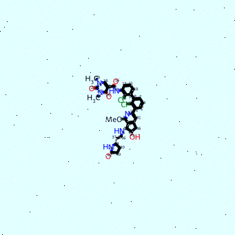 COc1nc(-c2cccc(-c3cccc(NC(=O)c4cn(C)c(=O)n(C)c4=O)c3Cl)c2Cl)cc2c1[C@@H](NCC[C@@H]1CCC(=O)N1)[C@@H](O)C2